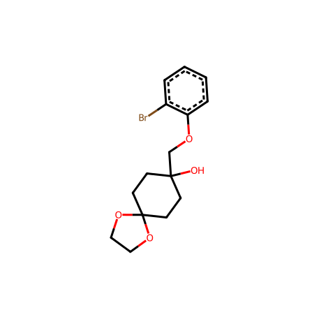 OC1(COc2ccccc2Br)CCC2(CC1)OCCO2